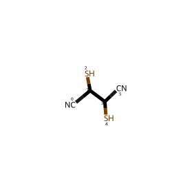 N#CC(S)C(S)C#N